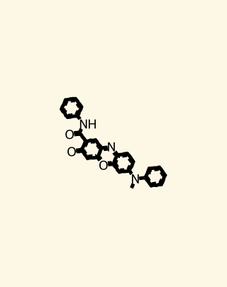 CN(c1ccccc1)c1ccc2nc3cc(C(=O)Nc4ccccc4)c(=O)cc-3oc2c1